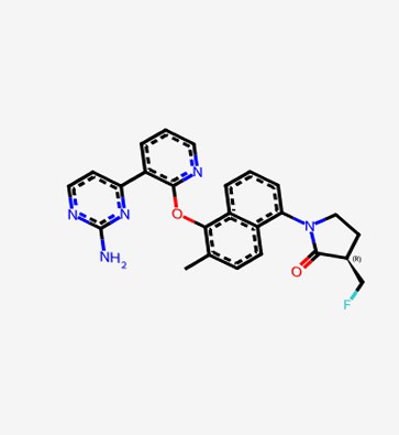 Cc1ccc2c(N3CC[C@@H](CF)C3=O)cccc2c1Oc1ncccc1-c1ccnc(N)n1